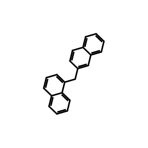 c1ccc2cc(Cc3cccc4ccccc34)ccc2c1